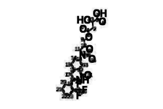 O=C(CC(O)C(=O)O)OCC1CN(c2ccc3cc(-c4ccccc4C(F)(F)F)[nH]c(=O)c3c2)C(=O)O1